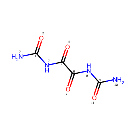 NC(=O)NC(=O)C(=O)NC(N)=O